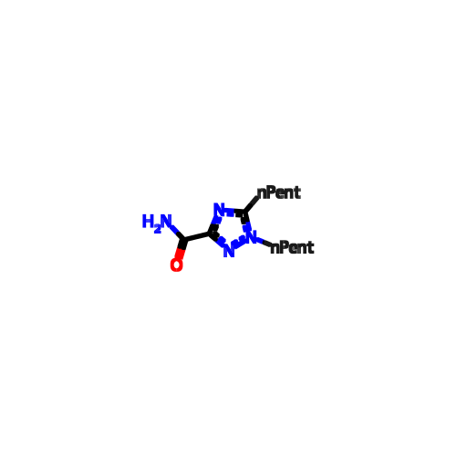 CCCCCc1nc(C(N)=O)nn1CCCCC